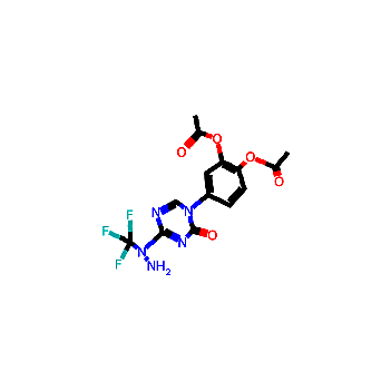 CC(=O)Oc1ccc(-n2cnc(N(N)C(F)(F)F)nc2=O)cc1OC(C)=O